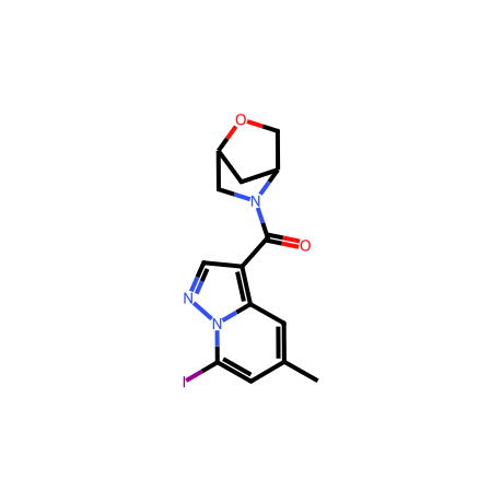 Cc1cc(I)n2ncc(C(=O)N3CC4CC3CO4)c2c1